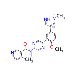 CN/C=C(\C=N)c1ccc(OC)c(-c2cnc(NC(=O)c3cnccc3C)cn2)c1